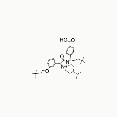 CC(C)C1CCC2(CC1)N=C(c1cccc(OCCC(C)(C)C)c1)C(=O)N2[C@H](CCC(C)(C)C)c1ccc(C(=O)O)cc1